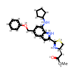 COC(=O)C[C@@H]1CSC(c2cc3cc(COc4ccccc4)cc(NC4CCCC4)c3[nH]2)=N1